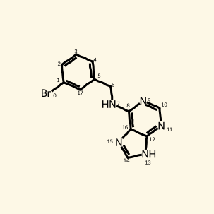 Brc1cccc(CNc2ncnc3[nH]cnc23)c1